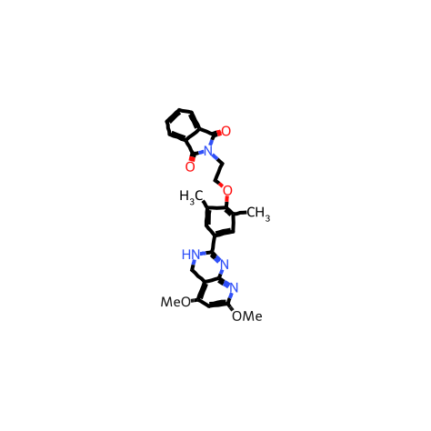 COc1cc(OC)c2c(n1)N=C(c1cc(C)c(OCCN3C(=O)c4ccccc4C3=O)c(C)c1)NC2